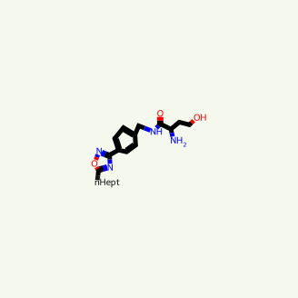 CCCCCCCc1nc(-c2ccc(CNC(=O)C(N)CCO)cc2)no1